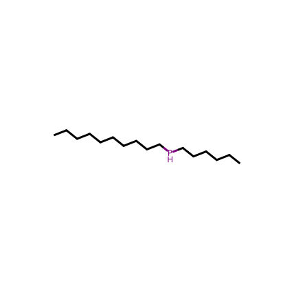 CCCCCCCCCCPCCCCCC